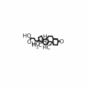 C#C[C@]12CCC(=O)C=C1CC[C@@H]1C2=CC[C@@]2(C)[C@H]1CC[C@@]2(O)CCC(=O)O